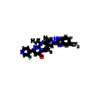 CN(c1nc(-c2ccncc2F)cc(=O)n1C)[C@@H]1[C@@H]2CN(c3nc4cc(C(F)(F)F)ccc4[nH]3)C[C@@H]21